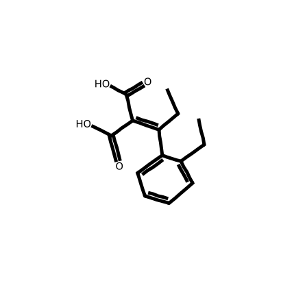 CCC(=C(C(=O)O)C(=O)O)c1ccccc1CC